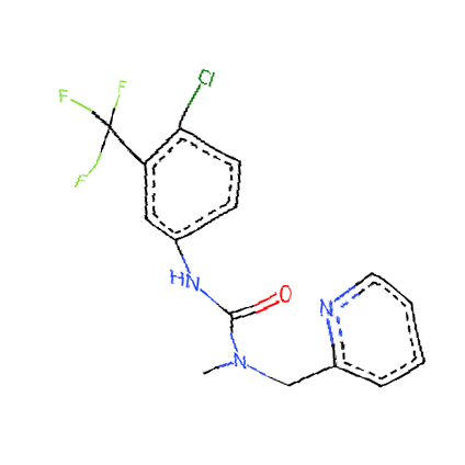 CN(Cc1ccccn1)C(=O)Nc1ccc(Cl)c(C(F)(F)F)c1